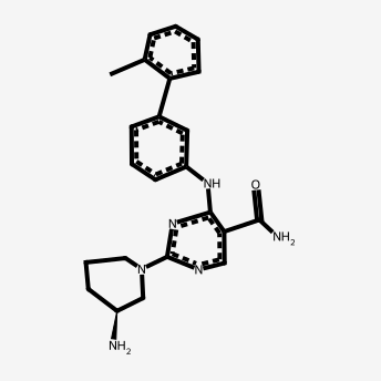 Cc1ccccc1-c1cccc(Nc2nc(N3CCC[C@H](N)C3)ncc2C(N)=O)c1